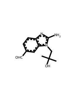 CC(C)(O)Cn1c(N)nc2ccc(C=O)cc21